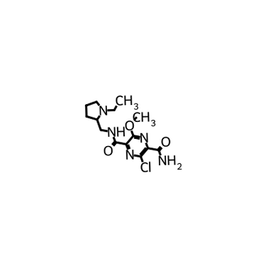 CCN1CCCC1CNC(=O)c1nc(Cl)c(C(N)=O)nc1OC